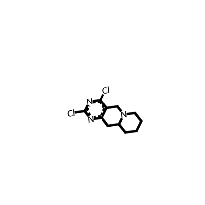 Clc1nc(Cl)c2c(n1)CC1CCCCN1C2